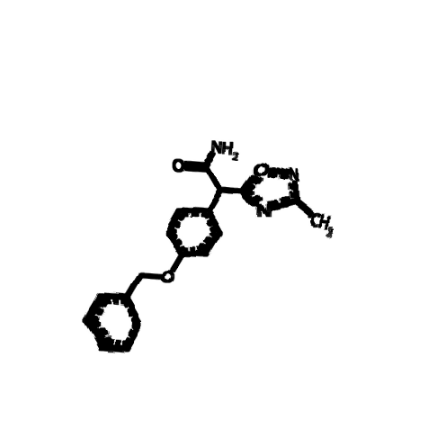 Cc1noc([C](C(N)=O)c2ccc(OCc3ccccc3)cc2)n1